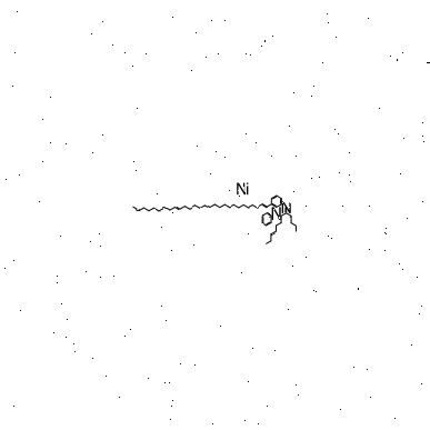 CCCCCCCCCCCCCCCCCCCCCCCCCCC=Cc1cccc(N=C(CCCC)C(CCCCCC)=Nc2ccccc2)c1.[Ni]